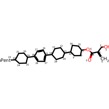 C=C(CO)C(=O)OC1CCC(C2CCC(c3ccc(C4CCC(CCCCC)CC4)cc3)CC2)CC1